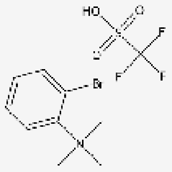 C[N+](C)(C)c1ccccc1Br.O=S(=O)(O)C(F)(F)F